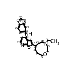 CCN1CCOCCCC(c2cc3c(Nc4ccc5scnc5c4)ccnc3s2)CC1